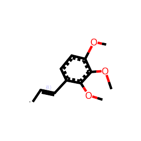 [CH2]/C=C/c1ccc(OC)c(OC)c1OC